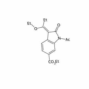 CCOC(=O)c1ccc2c(c1)N(C(C)=O)C(=O)C2=C(CC)OCC